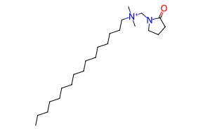 CCCCCCCCCCCCCCCC[N+](C)(C)CN1CCCC1=O